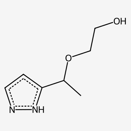 CC(OCCO)c1ccn[nH]1